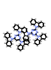 C1=CC2c3c(ccc4c5ccccc5n(-c5nc(-n6c7ccccc7c7ccccc76)cc(-n6c7ccccc7c7ccccc76)n5)c34)N(c3nc(-n4c5ccccc5c5ccccc54)nc(-n4c5ccccc5c5ccccc54)n3)C2C=C1